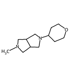 CN1CC2CN(C3CCOCC3)CC2C1